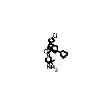 CCC1(CCCl)C2CC3(C(=O)N4CC[C@H](N)C(C)(C)C4)CC1CC(c1ccccc1)(C2)C3